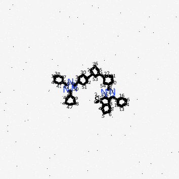 C[Si]1(C)c2ccccc2-c2c(-c3ccccc3)nc(-c3cccc(-c4cccc(-c5ccc(-c6nc(-c7ccccc7)nc(-c7ccccc7)n6)cc5)c4)c3)nc21